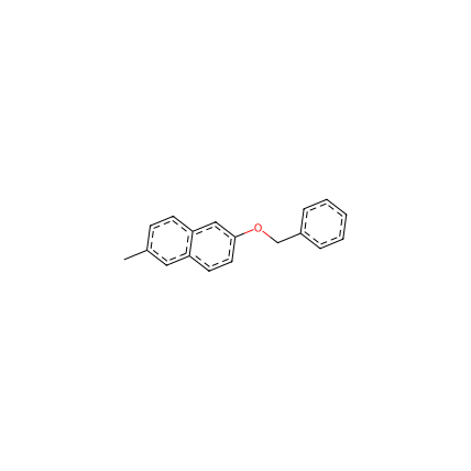 Cc1ccc2cc(OCc3ccccc3)ccc2c1